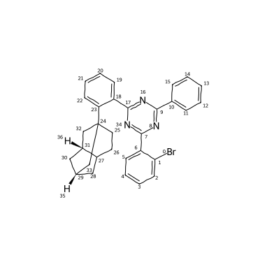 Brc1ccccc1-c1nc(-c2ccccc2)nc(-c2ccccc2C23CCC4C[C@H](C[C@@H]4C2)C3)n1